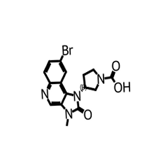 Cn1c(=O)n([C@@H]2CCN(C(=O)O)C2)c2c3cc(Br)ccc3ncc21